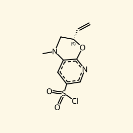 C=C[C@H]1CN(C)c2cc(S(=O)(=O)Cl)cnc2O1